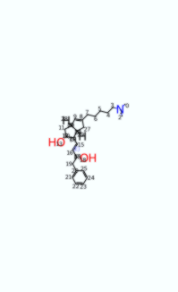 CN(C)CCCCCC1=C[C@H]2C[C@@H](O)[C@H](/C=C/[C@H](O)Cc3ccccc3)[C@H]2C1